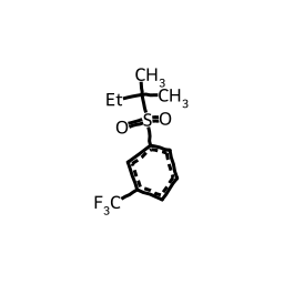 [CH2]CC(C)(C)S(=O)(=O)c1cccc(C(F)(F)F)c1